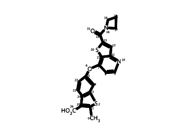 Cc1sc2cc(Oc3ccnc4cc(C(=O)N5CCC5)sc34)ccc2c1C(=O)O